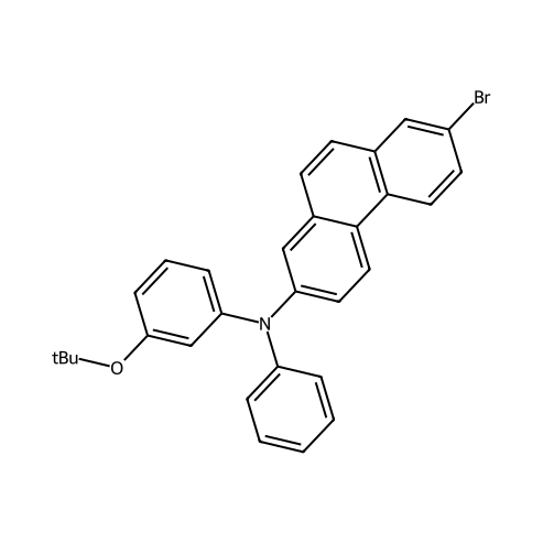 CC(C)(C)Oc1cccc(N(c2ccccc2)c2ccc3c(ccc4cc(Br)ccc43)c2)c1